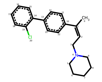 C/C(=C/CN1CCCCC1)c1ccc(-c2ccccc2Cl)cc1